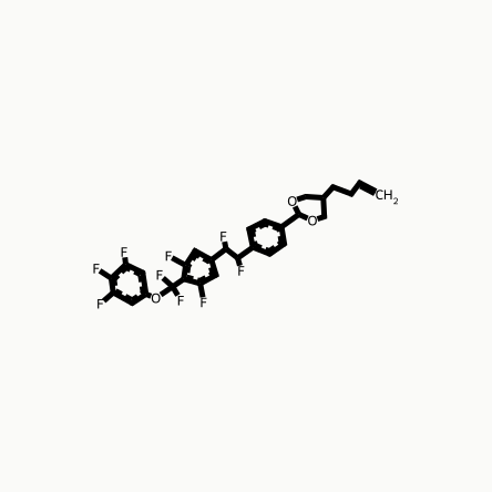 C=CCCC1COC(c2ccc(C(F)C(F)c3cc(F)c(C(F)(F)Oc4cc(F)c(F)c(F)c4)c(F)c3)cc2)OC1